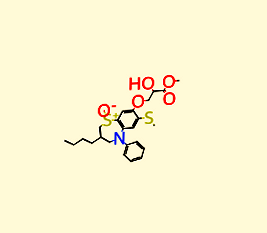 CCCCC1CN(c2ccccc2)c2cc(SC)c(OCC(O)C(=O)OC)cc2[S+]([O-])C1